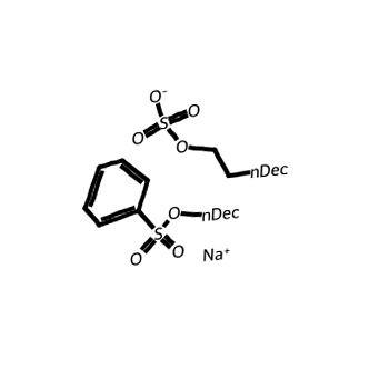 CCCCCCCCCCCCOS(=O)(=O)[O-].CCCCCCCCCCOS(=O)(=O)c1ccccc1.[Na+]